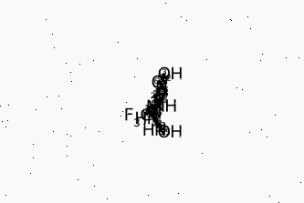 CC(C)(O)CC(=O)N1CCc2cc(Nc3ncc(C(F)(F)F)c(NCCCNO)n3)ccc2C1